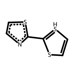 C1=C[SH]=C(c2nccs2)S1